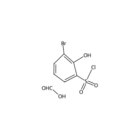 O=CO.O=S(=O)(Cl)c1cccc(Br)c1O